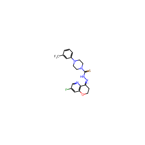 Fc1cnc2c(c1)OCC/C2=N/NC(=S)N1CCN(c2cccc(C(F)(F)F)c2)CC1